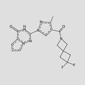 Cc1nn(-c2nn3cccc3c(=O)[nH]2)cc1C(=O)N1CC2(C1)CC(F)(F)C2